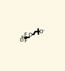 CC(C)([O-])CCOCC(F)(F)F.[Li+]